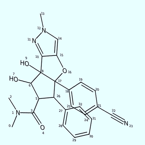 CN(C)C(=O)C1C(O)C2(O)c3nn(C)cc3OC2(c2ccc(C#N)cc2)C1c1ccccc1